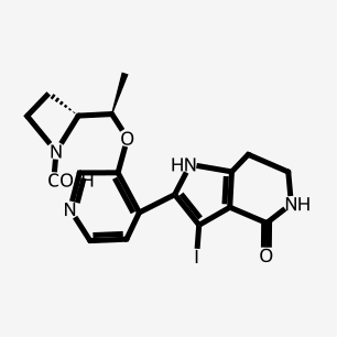 C[C@@H](Oc1cnccc1-c1[nH]c2c(c1I)C(=O)NCC2)[C@H]1CCN1C(=O)O